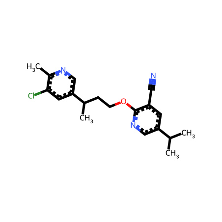 Cc1ncc(C(C)CCOc2ncc(C(C)C)cc2C#N)cc1Cl